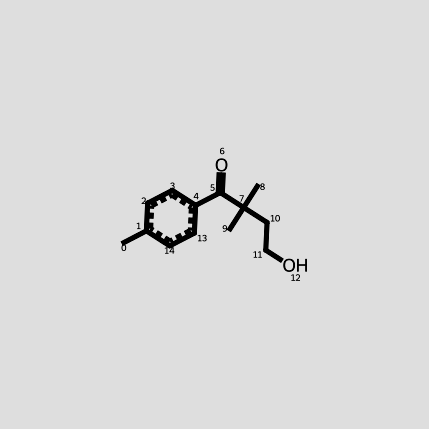 Cc1ccc(C(=O)C(C)(C)CCO)cc1